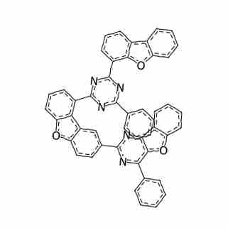 c1ccc(-c2nc(-c3cccc4c3oc3ccccc34)nc(-c3cccc4oc5ccc(-c6nc(-c7ccccc7)c7oc8ccccc8c7n6)cc5c34)n2)cc1